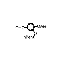 CCCCCOc1cc(C=O)ccc1OC